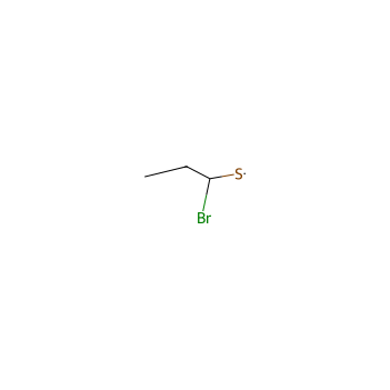 CCC([S])Br